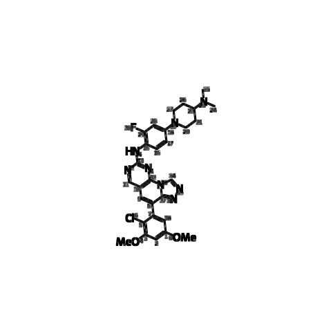 COc1cc(OC)c(Cl)c(-c2cc3cnc(Nc4ccc(N5CCC(N(C)C)CC5)cc4F)nc3n3cnnc23)c1